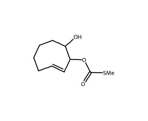 CSC(=O)OC1/C=C/CCCCC1O